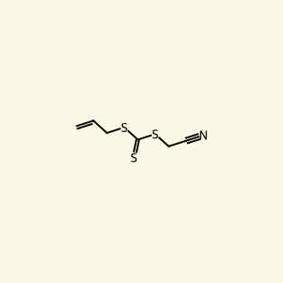 C=CCSC(=S)SCC#N